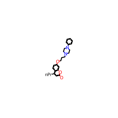 CCCc1cc(=O)oc2cc(OCCCN3CCN(c4ccccc4)CC3)ccc12